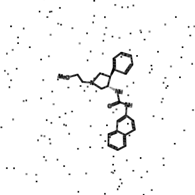 COCCN1C[C@@H](NC(=O)Nc2ccc3ccccc3c2)[C@H](c2ccccc2)C1